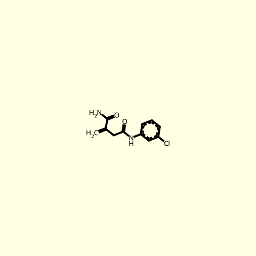 C=C(CC(=O)Nc1cccc(Cl)c1)C(N)=O